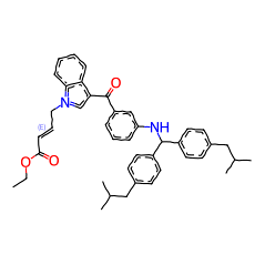 CCOC(=O)/C=C/Cn1cc(C(=O)c2cccc(NC(c3ccc(CC(C)C)cc3)c3ccc(CC(C)C)cc3)c2)c2ccccc21